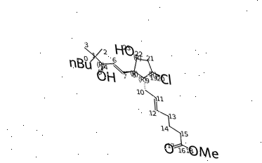 CCCCC(C)(C)[C@H](O)C=C[C@@H]1[C@@H](CC=CCCCC(=O)OC)[C@H](Cl)C[C@H]1O